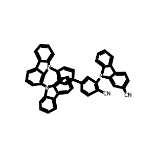 N#Cc1ccc2c3ccccc3n(-c3cc(-c4ccc(-n5c6ccccc6c6cccc(-n7c8ccccc8c8ccccc87)c65)cc4)ccc3C#N)c2c1